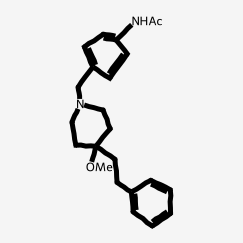 COC1(CCc2ccccc2)CCN(Cc2ccc(NC(C)=O)cc2)CC1